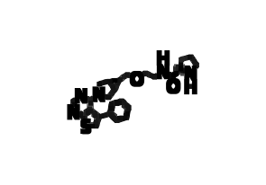 O=C(NCCOCC1C2CN(c3ncnc4scc(-c5ccccc5)c34)CC12)[C@H]1CCCN1